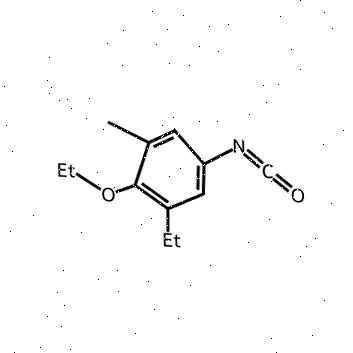 CCOc1c(C)cc(N=C=O)cc1CC